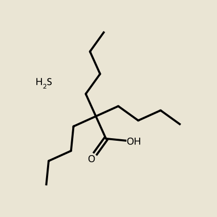 CCCCC(CCCC)(CCCC)C(=O)O.S